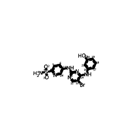 NS(=O)(=O)c1ccc(Nc2ncc(Br)c(Nc3cccc(O)c3)n2)cn1